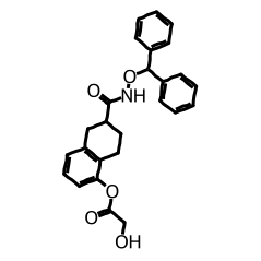 O=C(CO)Oc1cccc2c1CCC(C(=O)NOC(c1ccccc1)c1ccccc1)C2